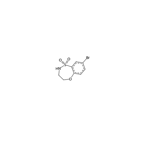 O=S1(=O)NCCOc2ccc(Br)cc21